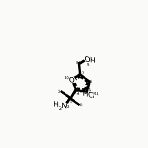 CC(C)(N)c1ccc(CO)o1.Cl